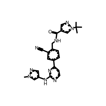 Cn1cc(Nc2nccc(-c3ccc(CNC(=O)c4cnn(C(C)(C)C)c4)c(C#N)c3)n2)cn1